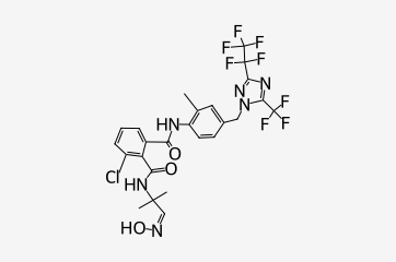 Cc1cc(Cn2nc(C(F)(F)C(F)(F)F)nc2C(F)(F)F)ccc1NC(=O)c1cccc(Cl)c1C(=O)NC(C)(C)/C=N\O